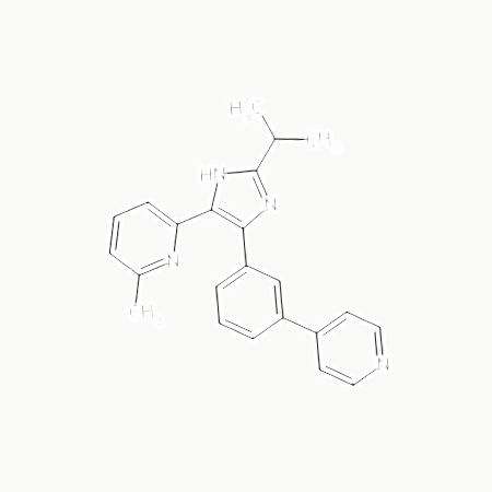 Cc1cccc(-c2[nH]c(C(C)C)nc2-c2cccc(-c3ccncc3)c2)n1